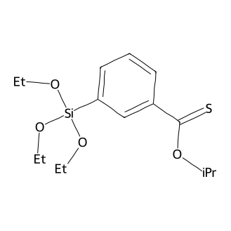 CCO[Si](OCC)(OCC)c1cccc(C(=S)OC(C)C)c1